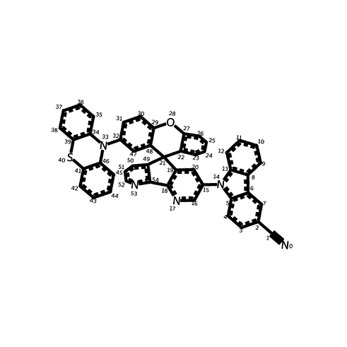 N#Cc1ccc2c(c1)c1ccccc1n2-c1cnc2c(c1)C1(c3ccccc3Oc3ccc(N4c5ccccc5Sc5ccccc54)cc31)c1cccnc1-2